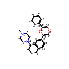 CN1CCN(C2CCCc3ccc(C4=COC=C(C5=CC=CCC5)O4)cc32)CC1